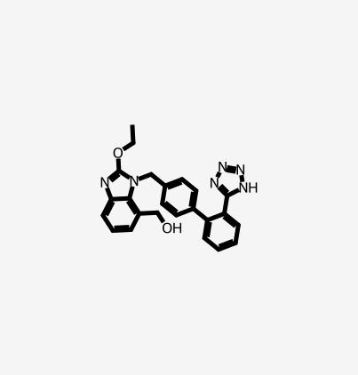 CCOc1nc2cccc(CO)c2n1Cc1ccc(-c2ccccc2-c2nnn[nH]2)cc1